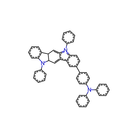 C1=c2c(n(-c3ccccc3)c3ccc(-c4ccc(N(c5ccccc5)c5ccccc5)cc4)cc23)=CC2c3ccccc3N(c3ccccc3)C12